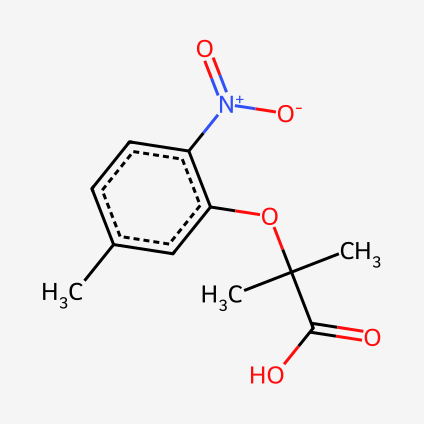 Cc1ccc([N+](=O)[O-])c(OC(C)(C)C(=O)O)c1